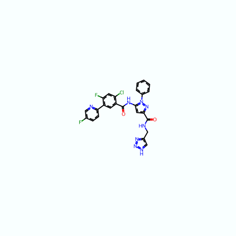 O=C(NCc1c[nH]nn1)c1cc(NC(=O)c2cc(-c3ccc(F)cn3)c(F)cc2Cl)n(-c2ccccc2)n1